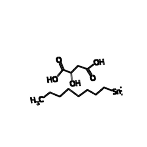 CCCCCCC[CH2][Sn].O=C(O)CC(O)C(=O)O